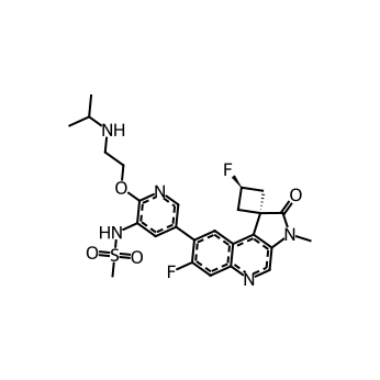 CC(C)NCCOc1ncc(-c2cc3c(cc2F)ncc2c3[C@]3(C[C@H](F)C3)C(=O)N2C)cc1NS(C)(=O)=O